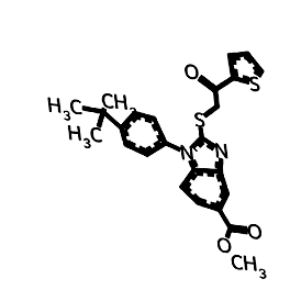 COC(=O)c1ccc2c(c1)nc(SCC(=O)c1cccs1)n2-c1ccc(C(C)(C)C)cc1